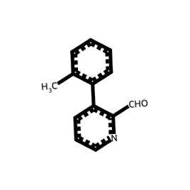 Cc1ccccc1-c1cccnc1C=O